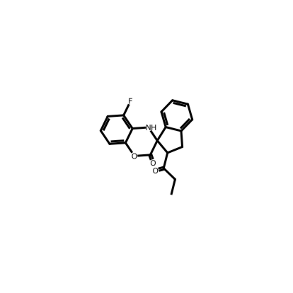 CCC(=O)C1Cc2ccccc2C12Nc1c(F)cccc1OC2=O